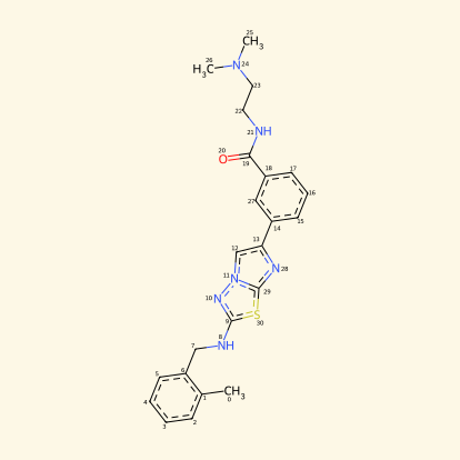 Cc1ccccc1CNc1nn2cc(-c3cccc(C(=O)NCCN(C)C)c3)nc2s1